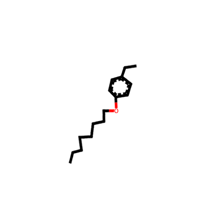 C[CH]c1ccc(OCCCCCCCC)cc1